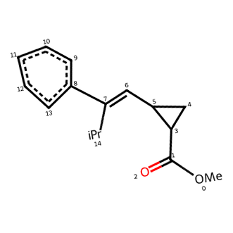 COC(=O)C1CC1C=C(c1ccccc1)C(C)C